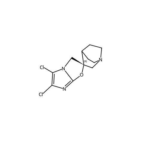 Clc1nc2n(c1Cl)C[C@@]1(CN3CCC1CC3)O2